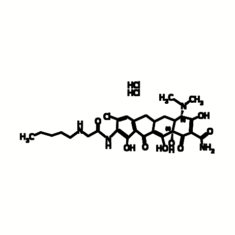 CCCCCNCC(=O)Nc1c(Cl)cc2c(c1O)C(=O)C1=C(O)[C@]3(O)C(=O)C(C(N)=O)=C(O)[C@@H](N(C)C)C3CC1C2.Cl.Cl